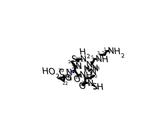 NCCCNCc1nnn(CC2C(NC(=O)/C(=N\OC3(C(=O)O)CC3)c3csc(N)n3)C(=O)N2S)n1